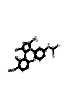 COc1ccc(F)c(-c2c(Cl)nc(C)n2-c2cccc(OC(F)F)c2)c1F